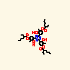 CCCCC(CC)C(=O)Oc1ccc(-c2nc(-c3ccc(OC(=O)C(CC)CCCC)c(C)c3O)nc(-c3ccc(OC(=O)C(CC)CCCC)c(C)c3O)n2)c(O)c1C